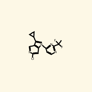 CC(F)(F)c1nccc(-n2cc(C3CC3)c3cnc(Cl)cc32)n1